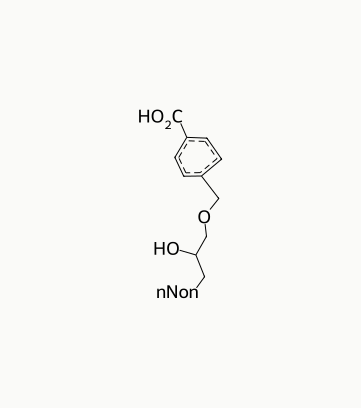 CCCCCCCCCCC(O)COCc1ccc(C(=O)O)cc1